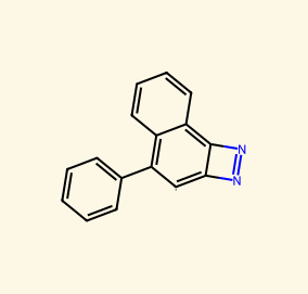 [c]1c2c(c3ccccc3c1-c1ccccc1)N=N2